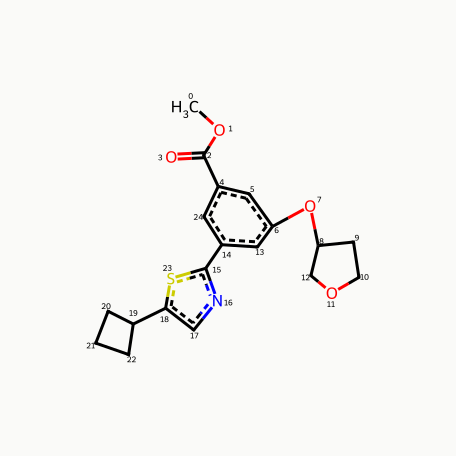 COC(=O)c1cc(OC2CCOC2)cc(-c2ncc(C3CCC3)s2)c1